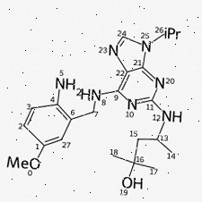 COc1ccc(N)c(CNc2nc(NC(C)CC(C)(C)O)nc3c2ncn3C(C)C)c1